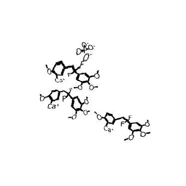 COc1ccc(CC(F)(F)c2cc(OC)c(OC)c(OC)c2)c[c]1[Ca+].COc1ccc(CC(F)(F)c2cc(OC)c(OC)c(OC)c2)c[c]1[Ca+].COc1ccc(CC(F)(F)c2cc(OC)c(OC)c(OC)c2)c[c]1[Ca+].O=P([O-])([O-])[O-]